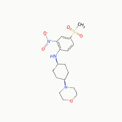 CS(=O)(=O)c1ccc(N[C@H]2CC[C@@H](N3CCOCC3)CC2)c([N+](=O)[O-])c1